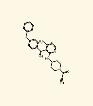 C#CC(=O)N1CCC(Nc2ncnc(N)c2C(=N)c2ccc(Oc3ccccc3)cc2)CC1